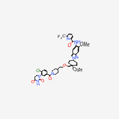 COc1cc2nn(C3CCC(COCCC4CCN(C(=O)c5ccc(Cl)c(N6CCC(=O)NC6=O)c5)CC4)(OC)CC3)cc2cc1NC(=O)c1cccc(C(F)(F)F)n1